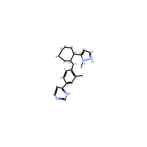 Cc1cc(-c2ccncn2)ccc1CC1CCCCCC1c1ccnn1C